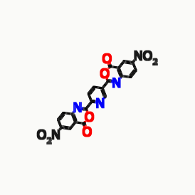 O=c1oc(-c2ccc(-c3nc4ccc([N+](=O)[O-])cc4c(=O)o3)nc2)nc2ccc([N+](=O)[O-])cc12